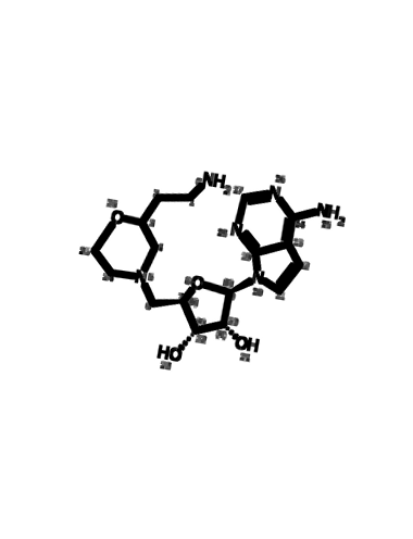 NCCC1CN(C[C@H]2O[C@@H](n3ccc4c(N)ncnc43)[C@H](O)[C@@H]2O)CCO1